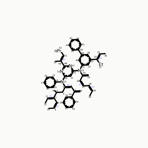 C=C(/C=C(\CC(C)C(/C=C\C)=C/C)N(c1ccccc1)c1cc(N(C(=C)/C=C\C=C/C)c2cc(/C(=C/C)CC)cc(-c3ccccc3)c2)nc(/C(C)=C/CCC)n1)c1ccccc1